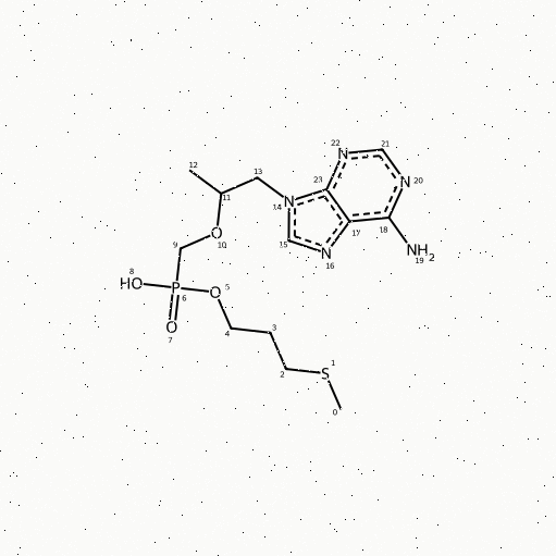 CSCCCOP(=O)(O)COC(C)Cn1cnc2c(N)ncnc21